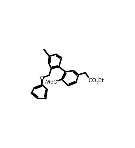 CCOC(=O)Cc1ccc(OC)c(-c2ccc(C)cc2COc2ccccc2)c1